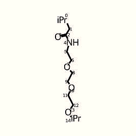 CC(C)CC(=O)NCCOCCOCCOC(C)C